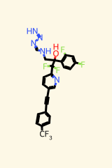 N=N/N=C\NCC(O)(c1ccc(F)cc1F)C(F)(F)c1ccc(C#Cc2ccc(C(F)(F)F)cc2)cn1